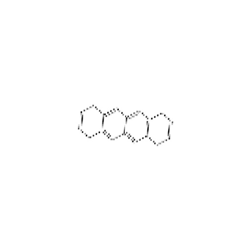 C1=CCc2cc3cc4c(cc3cc2C1)CC=CC4